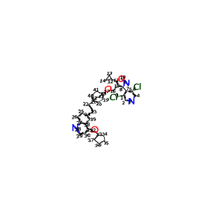 Clc1cncc(Cl)c1-c1noc(C2CC2)c1COC12CCC(/C=C/c3ccc4nccc(OC5CCCC5)c4c3)(CC1)CC2